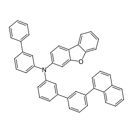 c1ccc(-c2cccc(N(c3cccc(-c4cccc(-c5cccc6ccccc56)c4)c3)c3ccc4c(c3)oc3ccccc34)c2)cc1